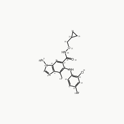 CCCn1cnc2c(F)c(Nc3ccc(Br)cc3Cl)c(C(=O)NOCC3CC3)cc21